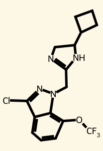 FC(F)(F)Oc1cccc2c(Cl)nn(CC3=NCC(C4CCC4)N3)c12